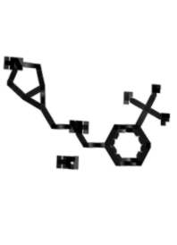 Cl.FC(F)(F)c1cccc(CNCC2C3CNCC23)c1